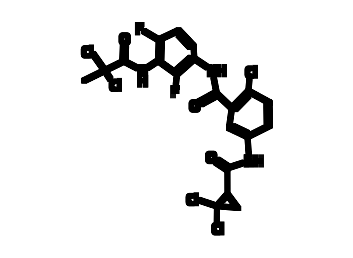 CC(Cl)(Cl)C(=O)Nc1c(F)ccc(NC(=O)c2cc(NC(=O)C3CC3(Cl)Cl)ccc2Cl)c1F